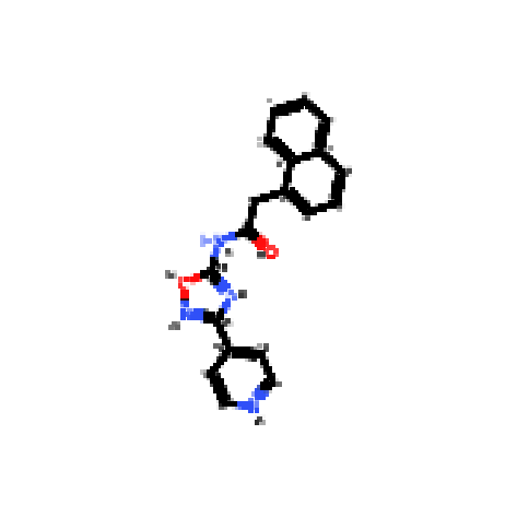 O=C(Cc1cccc2ccccc12)Nc1nc(-c2ccncc2)no1